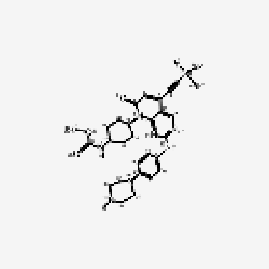 CC(C)[Si](C#Cc1cc(=O)n(C2CCC(NC(=O)OC(C)(C)C)CC2)c2nc(Nc3ccc(N4CCN(C)CC4)cc3)ncc12)(C(C)C)C(C)C